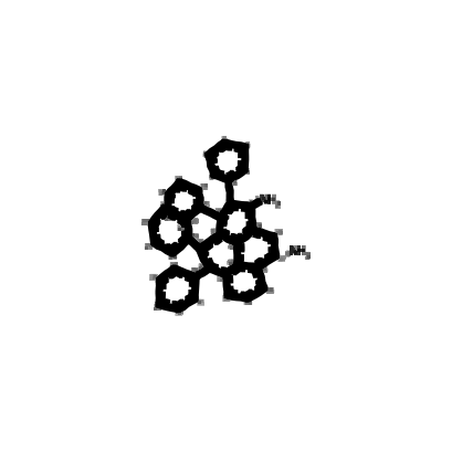 N.Nc1c(-c2ccccc2)c(-c2ccccc2)c2c(-c3ccccc3)c(-c3ccccc3)c3cccc4ccc1c2c43